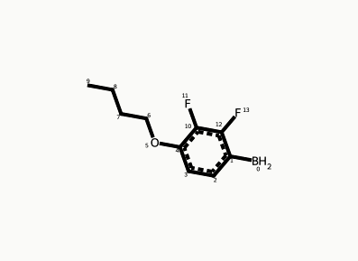 Bc1ccc(OCCCC)c(F)c1F